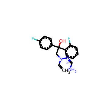 C=CN(CC(O)(c1ccc(F)cc1)c1ccccc1F)/N=C\N